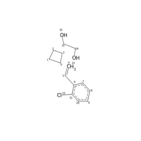 C1CCC1.C=Cc1ccccc1Cl.OCCO